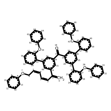 C=C(/C=C\C=C/COc1ccccc1)c1cc(C(=O)c2cc(-c3ccccc3Oc3ccccc3)cc(-c3ccccc3Oc3ccccc3)c2)cc(-c2ccccc2Oc2ccccc2)c1